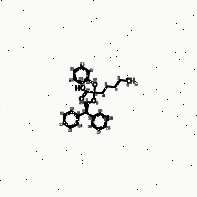 CCCCCC(ON=C(c1ccccc1)c1cccnc1)(Oc1ccccc1)C(=O)O